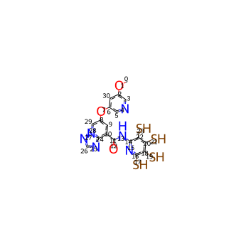 COc1cncc(Oc2cc(C(=O)Nc3nc(S)c(S)c(S)c3S)c3ncnn3c2)c1